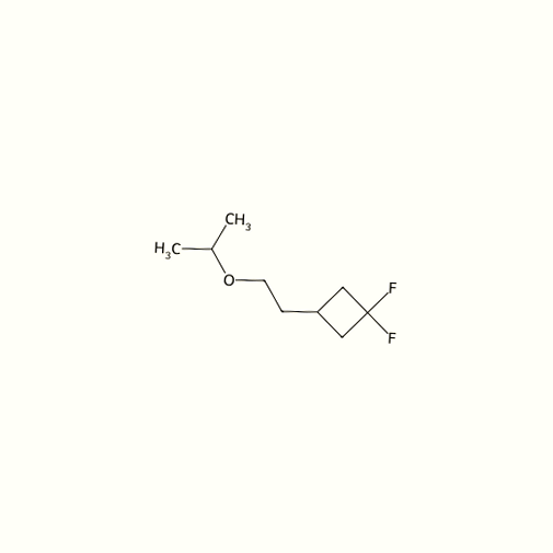 CC(C)OCCC1CC(F)(F)C1